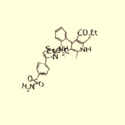 CCOC(=O)C1=C(C)NC(C)=C(C(=O)OCC)C1c1ccccc1Nc1nc(-c2ccc(S(N)(=O)=O)cc2)cs1